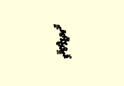 CC1=C(C(C)(C)CC(=O)NCCN)C(=O)C(C)=C(C(C)(C)CC(=O)NCCN)C1=O